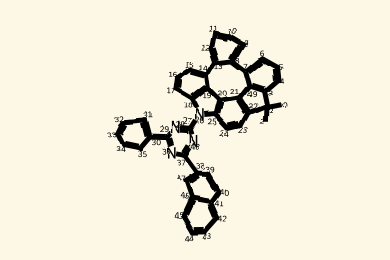 CC1(C)c2cccc3c4ccccc4c4cccc5c4c4c(c1ccc4n5-c1nc(-c4ccccc4)nc(-c4ccc5ccccc5c4)n1)c23